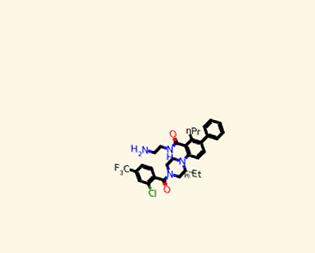 CCCc1c(-c2ccccc2)ccc(N2CCN(C(=O)c3ccc(C(F)(F)F)cc3Cl)C[C@H]2CC)c1C(=O)NCCN